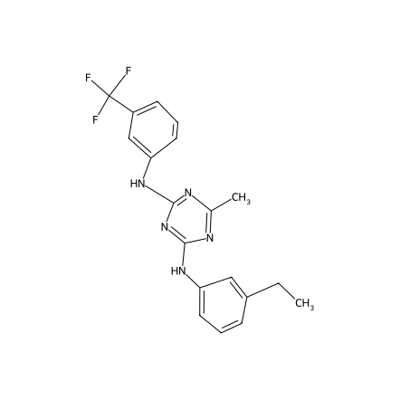 CCc1cccc(Nc2nc(C)nc(Nc3cccc(C(F)(F)F)c3)n2)c1